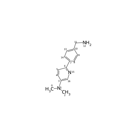 CN(C)c1ccc(-c2ccc(CN)cc2)nc1